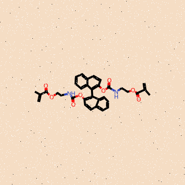 C=C(C)C(=O)OCCNC(=O)Oc1ccc2ccccc2c1-c1c(OC(=O)NCCOC(=O)C(=C)C)ccc2ccccc12